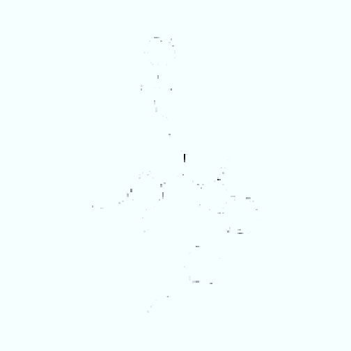 C=CCN1CCN(c2cccc3c2C(=O)N([C@H](CCCNS(=O)(=O)c2cccs2)c2ccc(OC)c(OC)c2)C3=O)CC1